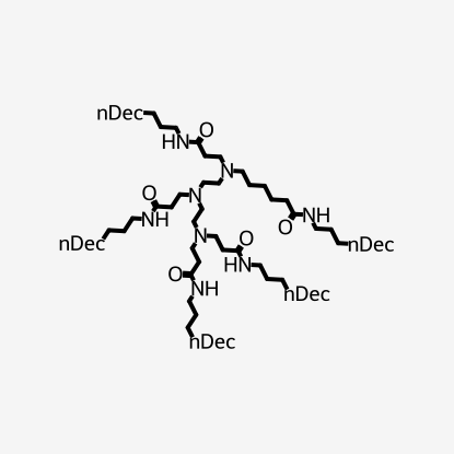 CCCCCCCCCCCCCNC(=O)CCCCCN(CCC(=O)NCCCCCCCCCCCCC)CCN(CCC(=O)NCCCCCCCCCCCCC)CCN(CCC(=O)NCCCCCCCCCCCCC)CCC(=O)NCCCCCCCCCCCCC